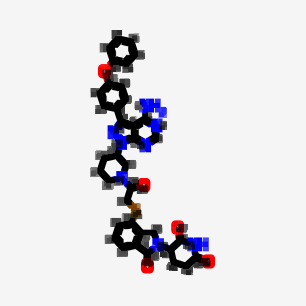 Nc1ncnc2c1c(-c1ccc(Oc3ccccc3)cc1)nn2C1CCCN(C(=O)CSc2cccc3c2CN(C2CCC(=O)NC2=O)C3=O)C1